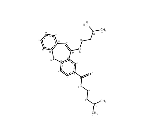 CN(C)CCOC(=O)c1ccc2c(c1)C(OCCN(C)C)=Cc1ccccc1S2